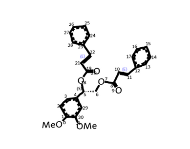 COc1ccc([C@@H](COC(=O)/C=C/c2ccccc2)OC(=O)/C=C/c2ccccc2)cc1OC